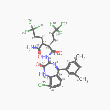 Cc1cc(C)cc(C2=NC(NC(=O)[C@H](CCC(F)(F)F)[C@H](CCC(F)(F)F)C(N)=O)C(=O)Nc3c(Cl)cccc32)c1